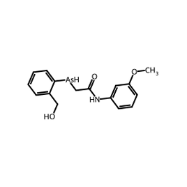 COc1cccc(NC(=O)C[AsH]c2ccccc2CO)c1